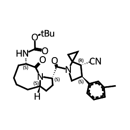 Cc1cccc([C@H]2CN(C(=O)[C@@H]3CC[C@@H]4CCCC[C@H](NC(=O)OC(C)(C)C)C(=O)N43)C3(CC3)[C@@H]2C#N)c1